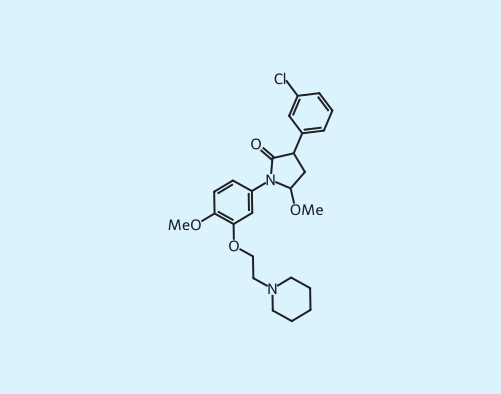 COc1ccc(N2C(=O)C(c3cccc(Cl)c3)CC2OC)cc1OCCN1CCCCC1